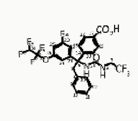 O=C(NCC(F)(F)F)NC(Cc1ccccc1)(c1ccc(C(=O)O)cc1)c1cc(F)cc(OC(F)(F)C(F)F)c1